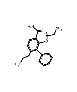 CCCc1ccc(C(N)=O)c(OC(=O)CN)c1-c1ccccc1